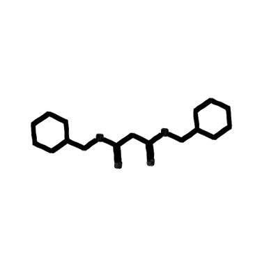 O=C(CC(=O)OCC1CCCCC1)OCC1CCCCC1